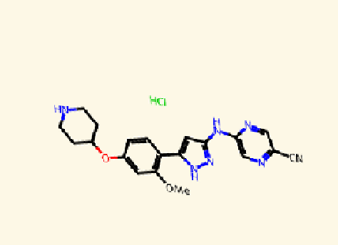 COc1cc(OC2CCNCC2)ccc1-c1cc(Nc2cnc(C#N)cn2)n[nH]1.Cl